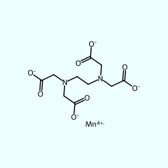 O=C([O-])CN(CCN(CC(=O)[O-])CC(=O)[O-])CC(=O)[O-].[Mn+4]